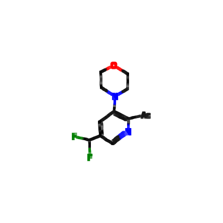 CC(=O)c1ncc(C(F)F)cc1N1CCOCC1